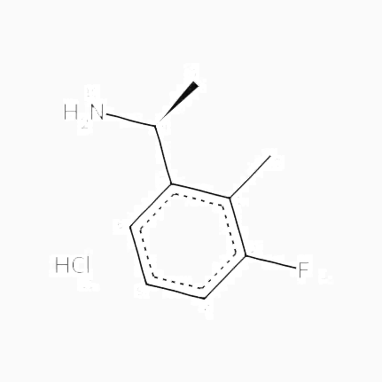 Cc1c(F)cccc1[C@H](C)N.Cl